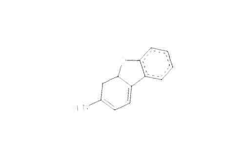 NC1=CC=C2c3ccccc3OC2C1